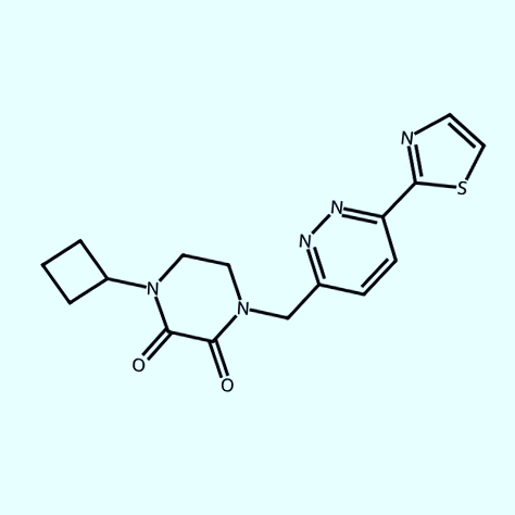 O=C1C(=O)N(C2CCC2)CCN1Cc1ccc(-c2nccs2)nn1